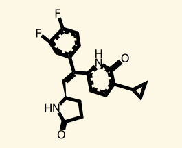 O=C1CC[C@H](/C=C(/c2ccc(F)c(F)c2)c2ccc(C3CC3)c(=O)[nH]2)N1